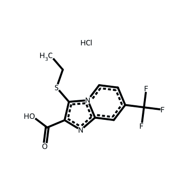 CCSc1c(C(=O)O)nc2cc(C(F)(F)F)ccn12.Cl